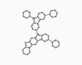 c1ccc(-c2ccc3c(c2)c2cc(-n4c5ccc(-c6ccccc6)cc5c5cc6c(cc54)sc4ccccc46)ccc2n3-c2ccccc2)cc1